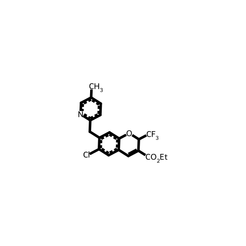 CCOC(=O)C1=Cc2cc(Cl)c(Cc3ccc(C)cn3)cc2OC1C(F)(F)F